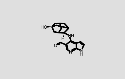 O=Cc1cnc2[nH]ccc2c1N[C@H]1C2CC3CC1C[C@@](O)(C3)C2